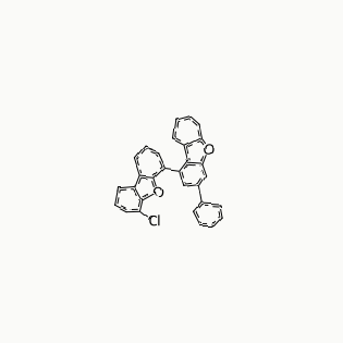 Clc1cccc2c1oc1c(-c3cc(-c4ccccc4)cc4oc5ccccc5c34)cccc12